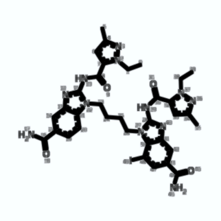 CCn1nc(C)cc1C(=O)Nc1nc2cc(C(N)=O)ccc2n1CCCCn1c(NC(=O)c2cc(C)nn2CC)nc2cc(C(N)=O)cc(I)c21